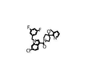 O=C(c1cn(Cc2cc(F)cc(F)c2)c2cc(Cl)ccc12)N1CCC2(CC1)OCc1cccnc12